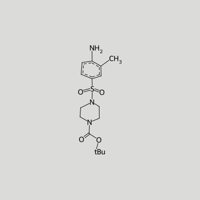 Cc1cc(S(=O)(=O)N2CCN(C(=O)OC(C)(C)C)CC2)ccc1N